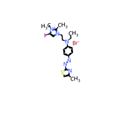 CCN(CCn1cc(I)[n+](C)c1C)c1ccc(N=Nc2nc(C)cs2)cc1.[Br-]